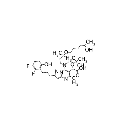 Cc1nc2cc(CCCc3c(O)ccc(F)c3F)nn2c(N2CCC(C)(OCCCCC(C)O)CC2)c1C(OC(C)(C)C)C(=O)O